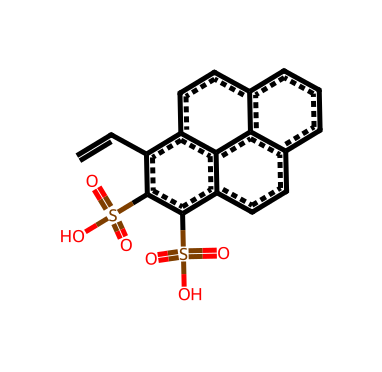 C=Cc1c(S(=O)(=O)O)c(S(=O)(=O)O)c2ccc3cccc4ccc1c2c43